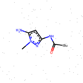 Cn1nc(NC(=O)C(C)(C)C)cc1N